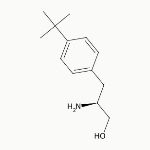 CC(C)(C)c1ccc(C[C@H](N)CO)cc1